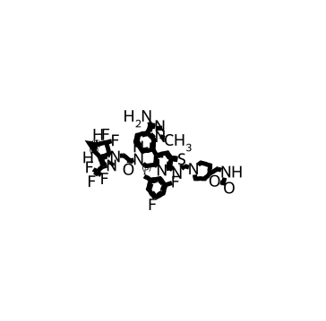 Cn1nc(N)c2cccc(-c3cc4sc(N5CCC6(CC5)CNC(=O)O6)nc4nc3[C@H](Cc3cc(F)cc(F)c3)NC(=O)Cn3nc(C(F)(F)F)c4c3C(F)(F)[C@@H]3C[C@H]43)c21